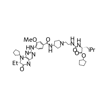 CC[C@H]1C(=O)N(C)c2cnc(Nc3ccc(C(=O)NC4CCN(CCNC(=O)N[C@H](CC(C)C)C(=O)OC5CCCC5)CC4)cc3OC)nc2N1C1CCCC1